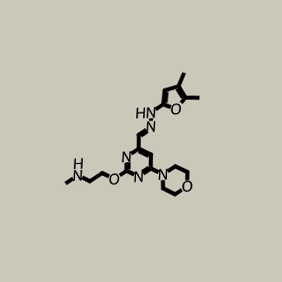 CNCCOc1nc(C=NNc2cc(C)c(C)o2)cc(N2CCOCC2)n1